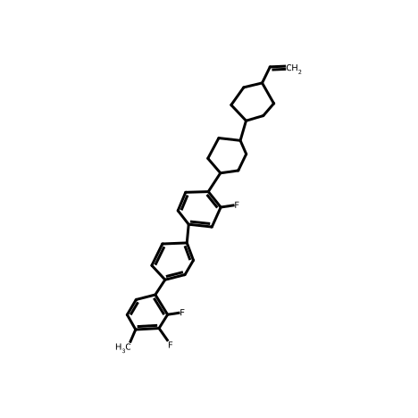 C=CC1CCC(C2CCC(c3ccc(-c4ccc(-c5ccc(C)c(F)c5F)cc4)cc3F)CC2)CC1